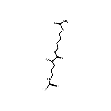 N=C(N)NCCCCOC(=O)[C@@H](N)CCCNC(=N)N